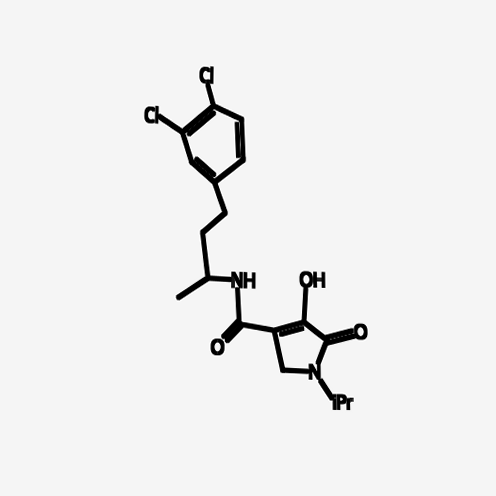 CC(CCc1ccc(Cl)c(Cl)c1)NC(=O)C1=C(O)C(=O)N(C(C)C)C1